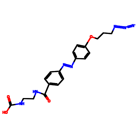 [N-]=[N+]=NCCCOc1ccc(N=Nc2ccc(C(=O)NCCNC(=O)O)cc2)cc1